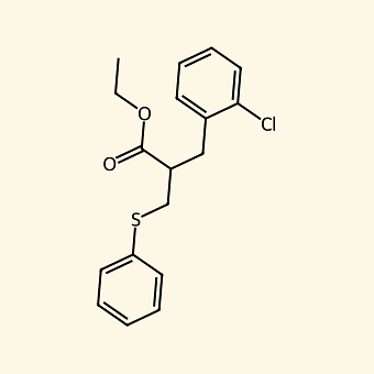 CCOC(=O)C(CSc1ccccc1)Cc1ccccc1Cl